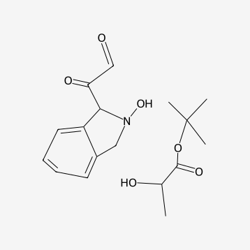 CC(O)C(=O)OC(C)(C)C.O=CC(=O)C1c2ccccc2CN1O